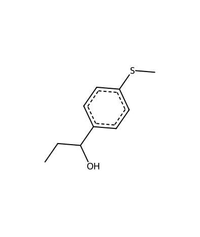 CCC(O)c1ccc(SC)cc1